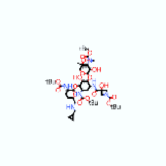 CN(C(=O)OC(C)(C)C)[C@@H]1[C@@H](O)[C@@H](O[C@@H]2[C@@H](O)[C@H](O[C@H]3OC(CNCC4CC4)=CC[C@H]3NC(=O)OC(C)(C)C)[C@@H](NC(=O)OC(C)(C)C)C[C@H]2NC(=O)C2(O)CN(C(=O)OC(C)(C)C)C2)OC[C@]1(C)O